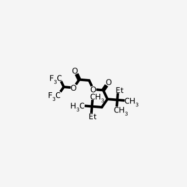 CCC(C)(C)CC(C(=O)OCC(=O)OC(C(F)(F)F)C(F)(F)F)C(C)(C)CC